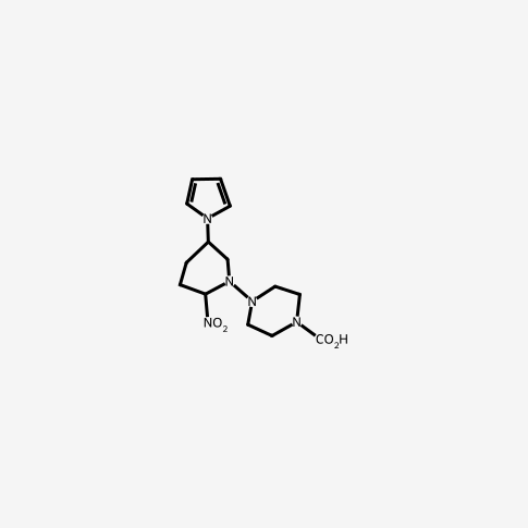 O=C(O)N1CCN(N2CC(n3cccc3)CCC2[N+](=O)[O-])CC1